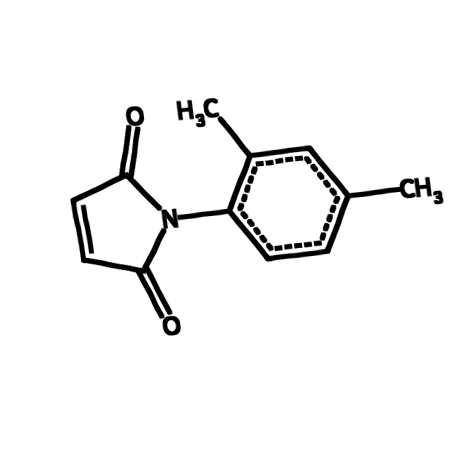 Cc1ccc(N2C(=O)C=CC2=O)c(C)c1